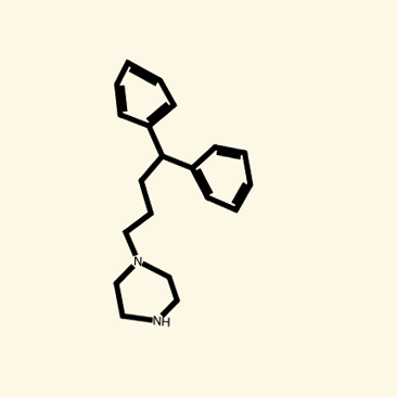 c1ccc(C(CCCN2CCNCC2)c2ccccc2)cc1